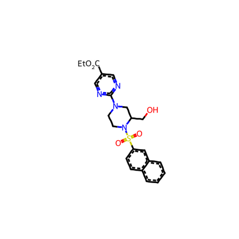 CCOC(=O)c1cnc(N2CCN(S(=O)(=O)c3ccc4ccccc4c3)C(CO)C2)nc1